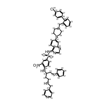 O=[N+]([O-])c1cc(S(=O)(=O)Nc2ncnc3cc(N4CCN(Cc5ccccc5-c5ccc(Cl)cc5)CC4)ccc23)ccc1NC(CCNCc1ccncc1)CSc1ccccc1